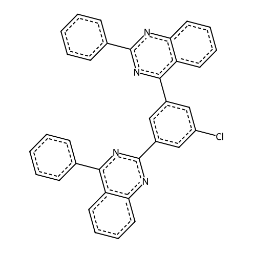 Clc1cc(-c2nc(-c3ccccc3)c3ccccc3n2)cc(-c2nc(-c3ccccc3)nc3ccccc23)c1